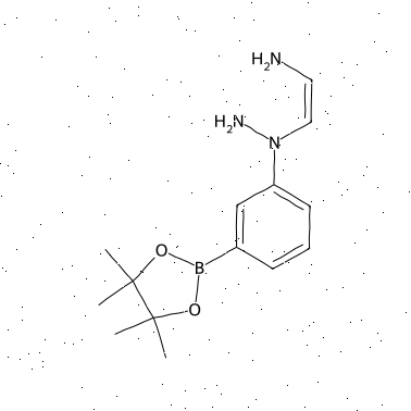 CC1(C)OB(c2cccc(N(N)/C=C\N)c2)OC1(C)C